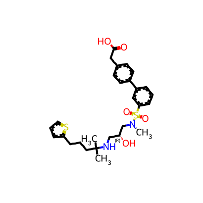 CN(C[C@H](O)CNC(C)(C)CCCc1cccs1)S(=O)(=O)c1cccc(-c2ccc(CC(=O)O)cc2)c1